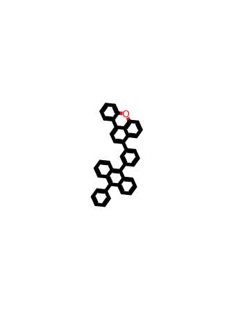 c1ccc(-c2c3ccccc3c(-c3cccc(-c4ccc5c6c(cccc46)Oc4ccccc4-5)c3)c3ccccc23)cc1